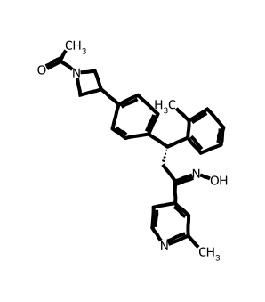 CC(=O)N1CC(c2ccc([C@@H](CC(=NO)c3ccnc(C)c3)c3ccccc3C)cc2)C1